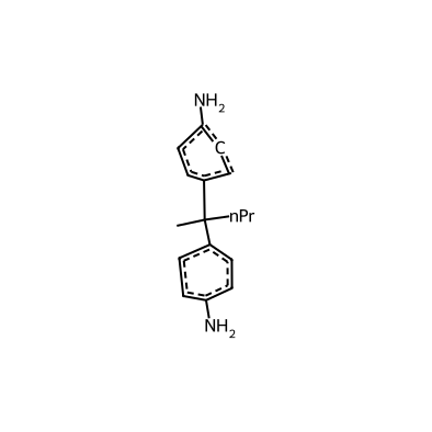 CCCC(C)(c1ccc(N)cc1)c1ccc(N)cc1